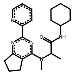 CC(C(=O)NC1CCCCC1)N(C)c1nc(-c2ccccn2)nc2c1CCC2